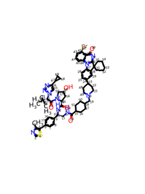 Cc1ncsc1-c1ccc([C@H](CNC(=O)C2CCC(CN3CCC(c4ccc5c(c4)C4(CCCCC4)c4nc(=O)c6c(Br)cccc6n4-5)CC3)CC2)NC(=O)[C@@H]2C[C@@H](O)CN2C(=O)[C@@H](n2cc(C3CC3)nn2)C(C)(C)C)cc1